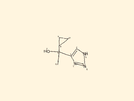 CC(O)(c1c[nH]nn1)C1CC1